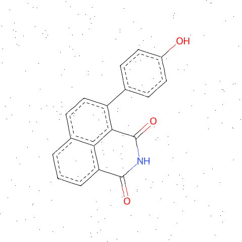 O=C1NC(=O)c2c(-c3ccc(O)cc3)ccc3cccc1c23